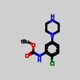 CC(C)(C)OC(=O)Nc1cc(N2CCNCC2)ccc1Cl